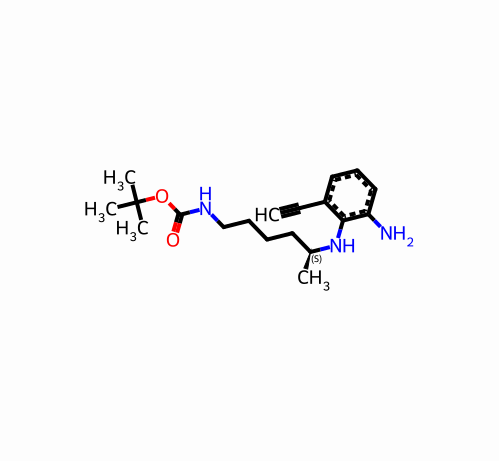 C#Cc1cccc(N)c1N[C@@H](C)CCCCNC(=O)OC(C)(C)C